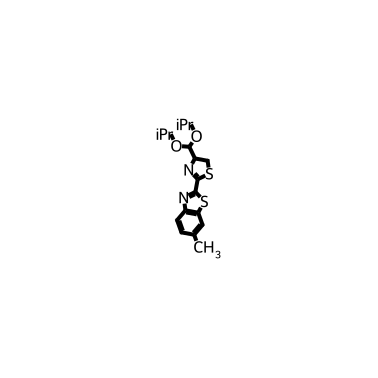 Cc1ccc2nc(C3=NC(C(OC(C)C)OC(C)C)CS3)sc2c1